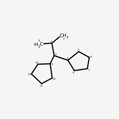 [CH2]C(C)C(C1CCCC1)C1CCCC1